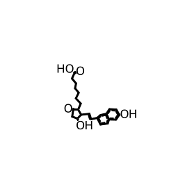 O=C(O)CCCCCCC1C(=O)CC(O)C1C=Cc1ccc2cc(O)ccc2c1